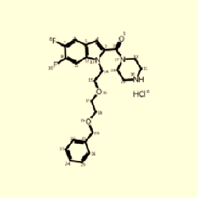 Cl.O=C(c1cc2cc(F)c(F)cc2n1CCOCCOCc1ccccc1)N1CCNCC1